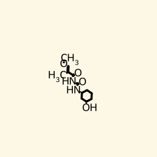 CO/C=C(\C)C(=O)NC(=O)N[C@H]1CCC[C@@H](O)C1